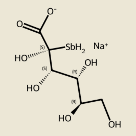 O=C([O-])[C@@](O)([SbH2])[C@@H](O)[C@H](O)[C@H](O)CO.[Na+]